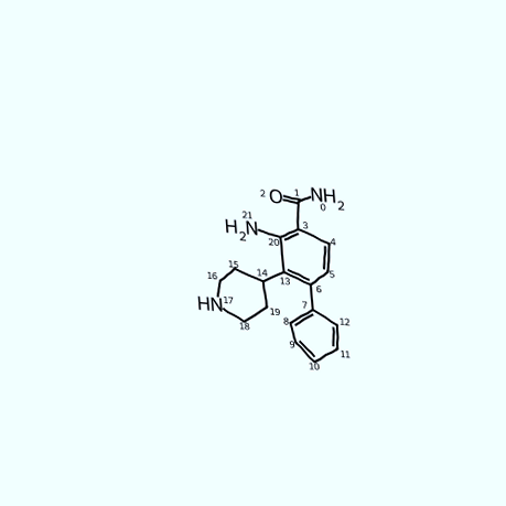 NC(=O)c1ccc(-c2ccccc2)c(C2CCNCC2)c1N